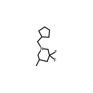 CC1CN(CC2CCCC2)CC(F)(F)C1